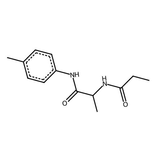 CCC(=O)NC(C)C(=O)Nc1ccc(C)cc1